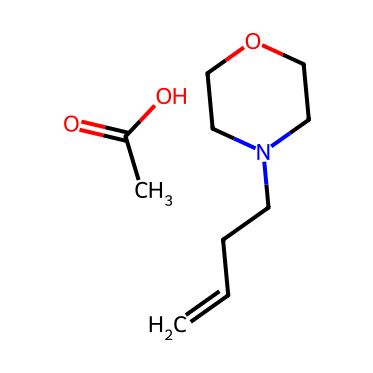 C=CCCN1CCOCC1.CC(=O)O